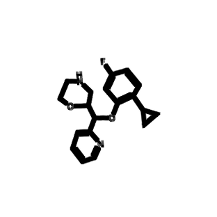 Fc1ccc(C2CC2)c(OC(c2ccccn2)C2CNCCO2)c1